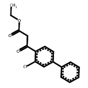 CCOC(=O)CC(=O)c1ccc(-c2ccccc2)cc1Cl